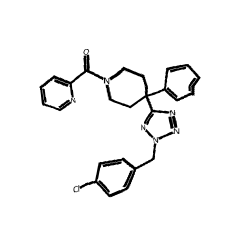 O=C(c1ccccn1)N1CCC(c2ccccc2)(c2nnn(Cc3ccc(Cl)cc3)n2)CC1